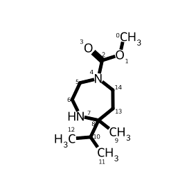 COC(=O)N1CCNC(C)(C(C)C)CC1